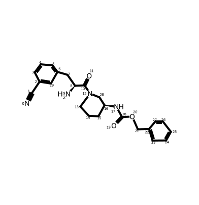 N#Cc1cccc(C[C@H](N)C(=O)N2CCC[C@H](NC(=O)OCc3ccccc3)C2)c1